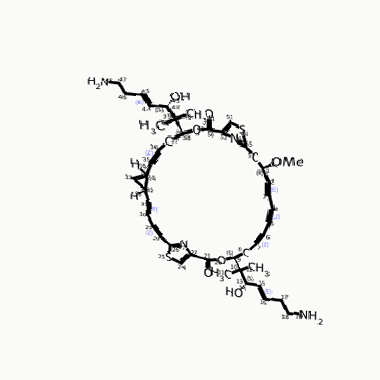 CO[C@H]1/C=C/C=C\C=C/C[C@@H](C(C)(C)[C@@H](O)/C=C/CCN)OC(=O)c2csc(n2)/C=C\C=C\[C@@H]2C[C@@H]2/C=C\C[C@@H](C(C)(C)[C@@H](O)/C=C/CCN)OC(=O)c2csc(n2)C1